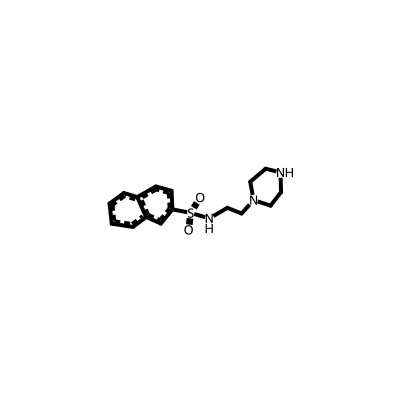 O=S(=O)(NCCN1CCNCC1)c1ccc2ccccc2c1